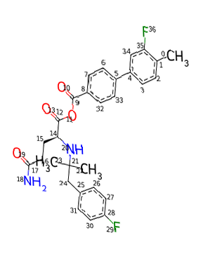 Cc1ccc(-c2ccc(C(=O)OC(=O)[C@H](CCC(N)=O)NC(C)(C)Cc3ccc(F)cc3)cc2)cc1F